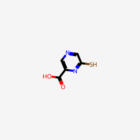 O=C(O)c1cncc(S)n1